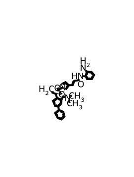 C=CC(c1ccc(-c2ccccc2)cc1CN(C)C)S(=O)(=O)n1ccc(/C=C/C(=O)Nc2ccccc2N)c1